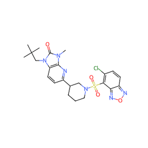 Cn1c(=O)n(CC(C)(C)C)c2ccc(C3CCCN(S(=O)(=O)c4c(Cl)ccc5nonc45)C3)nc21